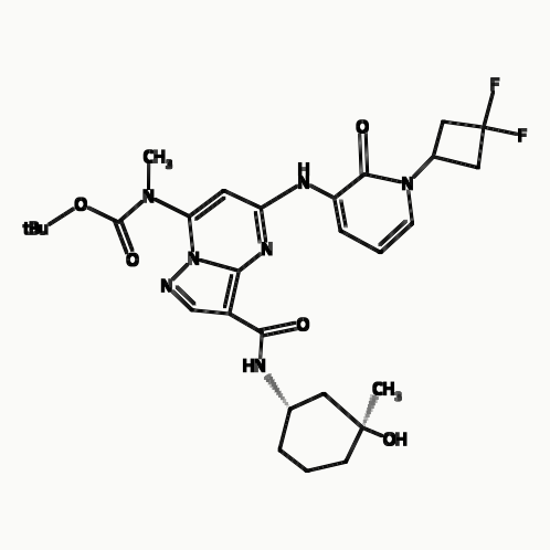 CN(C(=O)OC(C)(C)C)c1cc(Nc2cccn(C3CC(F)(F)C3)c2=O)nc2c(C(=O)N[C@H]3CCC[C@](C)(O)C3)cnn12